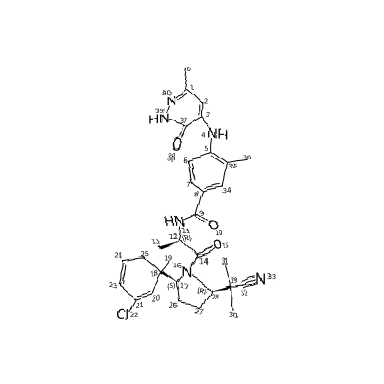 Cc1cc(Nc2ccc(C(=O)N[C@H](C)C(=O)N3[C@H](C4(C)C=C(Cl)C=CC4)CC[C@@H]3C(C)(C)C#N)cc2C)c(=O)[nH]n1